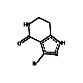 O=C1NCCc2[nH]nc(Br)c21